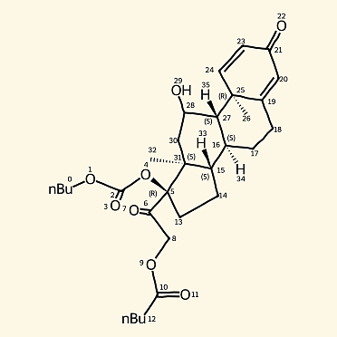 CCCCOC(=O)O[C@]1(C(=O)COC(=O)CCCC)CC[C@H]2[C@@H]3CCC4=CC(=O)C=C[C@]4(C)[C@H]3C(O)C[C@@]21C